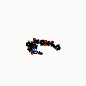 COC(=O)N[C@H]1CCC[C@@H]1[C@](CN1CCC1)(c1cccc(F)c1)C1CCN(C(=O)C2CN(c3ccc(S(=O)(=O)C4CN(C(=O)/C=C/CN5CCCCC5)C4)cc3)C2)CC1